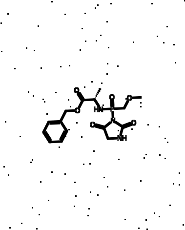 COCP(=O)(N[C@@H](C)C(=O)OCc1ccccc1)N1C(=O)CNC1=O